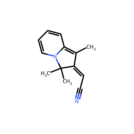 CC1=C2C=CC=CN2C(C)(C)/C1=C\C#N